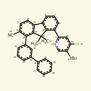 CC(C)(C)c1cnc(-c2cccc3c2C(C)(C)c2c-3ccc(C#N)c2-c2cccc(-c3ccccc3)c2)cc1F